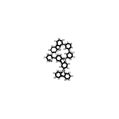 C1=Cc2sc3c(-c4cccc(-c5cccc(-n6c7ccc(-c8ccccn8)cc7c7cc(-n8c9ccccc9c9ccccc98)ccc76)c5)c4)cccc3c2CC1